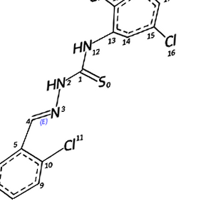 S=C(N/N=C/c1ccccc1Cl)Nc1cc(Cl)ccc1Cl